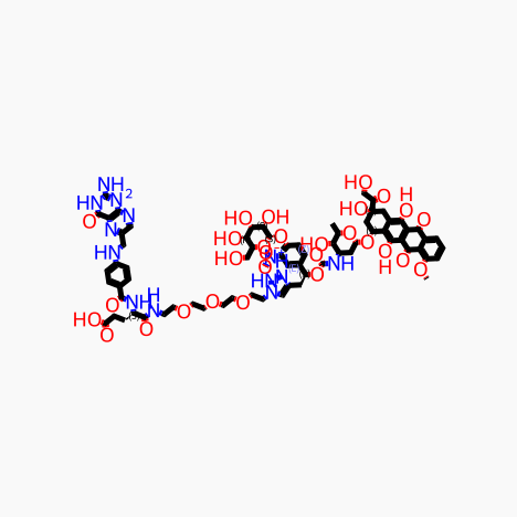 C=C(/C=C\C(=C/C[N+](=O)[O-])[C@H](CC1=CN(CCOCCOCCOCCNC(=O)[C@H](CCC(=O)O)NC(=O)c2ccc(NCc3cnc4nc(N)[nH]c(=O)c4n3)cc2)NN1)OC(=O)NC1CC(O[C@H]2C[C@](O)(C(=O)CO)Cc3c(O)c4c(c(O)c32)C(=O)c2c(OC)cccc2C4=O)OC(C)C1O)O[C@@H]1OC(CO)[C@H](O)C(O)[C@@H]1O